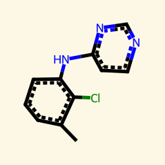 Cc1cccc(Nc2ccncn2)c1Cl